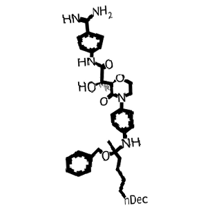 CCCCCCCCCCCCCCC(C)(Nc1ccc(N2CCO[C@H]([C@@H](O)C(=O)Nc3ccc(C(=N)N)cc3)C2=O)cc1)OCc1ccccc1